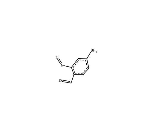 Bc1ccc(C=O)c(N=O)c1